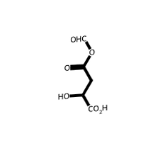 O=COC(=O)CC(O)C(=O)O